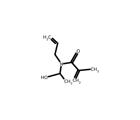 C=CCN(C(=O)C(=C)C)C(C)O